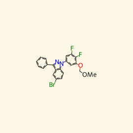 COCOc1cc(-n2nc(-c3ccccc3)c3cc(Br)ccc32)cc(F)c1F